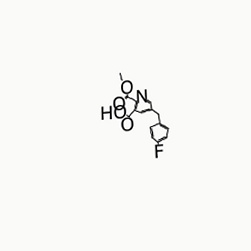 CCOC(=O)c1ncc(Cc2ccc(F)cc2)cc1C(=O)O